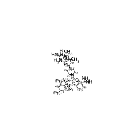 CC(C)c1cc(C(C)C)c(S(=O)(=O)NC(Cc2cccc(C(=N)N)c2)C(=O)N2CCN(C(=O)CC(C)(C)CC(C)(C)NC(=N)N)CC2)c(C(C)C)c1